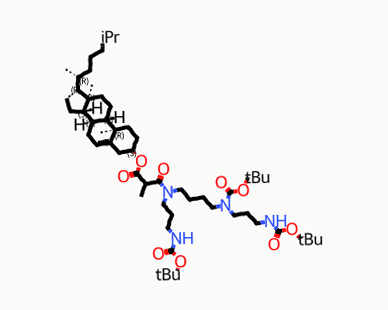 CC(C)CCC[C@@H](C)[C@H]1CC[C@H]2[C@@H]3CC=C4C[C@@H](OC(=O)C(C)C(=O)N(CCCCN(CCCNC(=O)OC(C)(C)C)C(=O)OC(C)(C)C)CCCNC(=O)OC(C)(C)C)CC[C@]4(C)[C@H]3CC[C@]12C